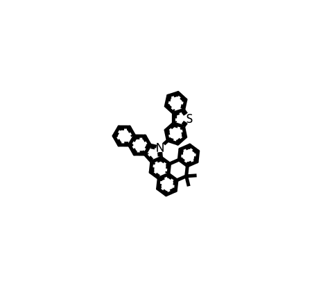 CC1(C)c2ccccc2-c2c3c1cccc3cc1c3cc4ccccc4cc3n(-c3ccc4sc5ccccc5c4c3)c21